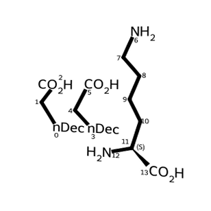 CCCCCCCCCCCC(=O)O.CCCCCCCCCCCC(=O)O.NCCCC[C@H](N)C(=O)O